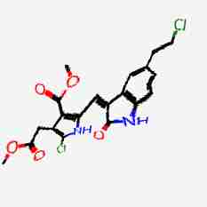 COC(=O)Cc1c(Cl)[nH]c(C=C2C(=O)Nc3ccc(CCCl)cc32)c1C(=O)OC